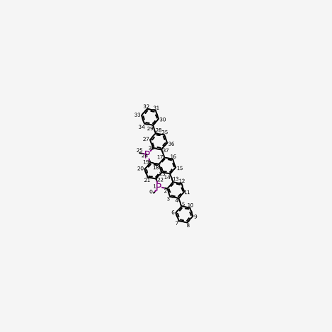 CP1c2cc(-c3ccccc3)ccc2-c2ccc3c4c(ccc1c24)P(C)c1cc(-c2ccccc2)ccc1-3